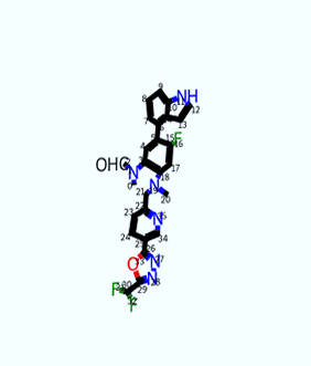 CN(C=O)c1cc(-c2cccc3[nH]ccc23)c(F)cc1N(C)Cc1ccc(-c2nnc(C(F)F)o2)cn1